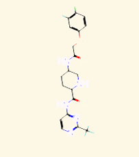 O=C(COc1ccc(Cl)c(F)c1)NC1CCC(C(=O)Nc2ccnc(C(F)(F)F)n2)NC1